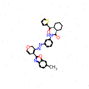 Cc1ccc2nc(C3=C(N=Nc4cccc(NC(=O)[C@@H]5CCCC[C@@H]5C(=O)c5cccs5)c4)COC=C3)oc2c1